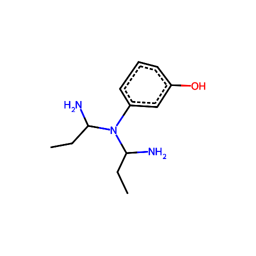 CCC(N)N(c1cccc(O)c1)C(N)CC